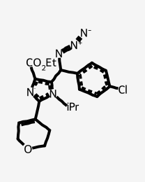 CCOC(=O)c1nc(C2=CCOCC2)n(C(C)C)c1C(N=[N+]=[N-])c1ccc(Cl)cc1